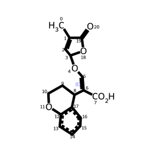 CC1=CC(O/C=C(/C(=O)O)C2CCOc3ccccc32)OC1=O